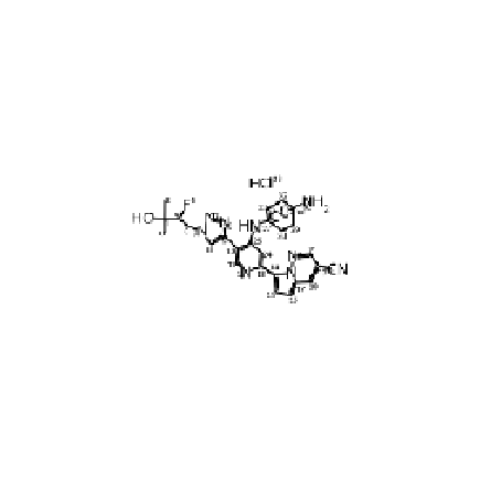 CC(C)(O)C(F)Cn1cc(-c2cnc(-c3ccc4cc(C#N)cnn34)cc2NC23CCC(N)(CC2)CC3)nn1.Cl